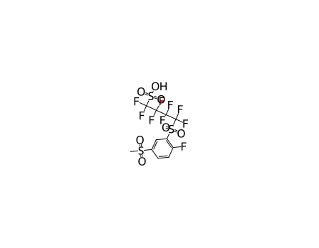 CS(=O)(=O)c1ccc(F)c(S(=O)(=O)C(F)(F)C(F)(F)C(F)(F)C(F)(F)S(=O)(=O)O)c1